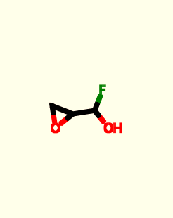 OC(F)C1CO1